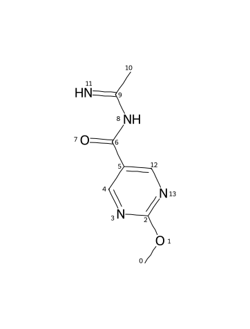 COc1ncc(C(=O)NC(C)=N)cn1